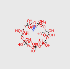 [N-]=[N+]=NCC1OC2OC3C(CO)OC(OC4C(CO)OC(OC5C(CO)OC(OC6C(CO)OC(OC7C(CO)OC(OC8C(CO)OC(OC1C(O)C2O)C(O)C8O)C(O)C7O)C(O)C6O)C(O)C5O)C(O)C4O)C(O)C3O